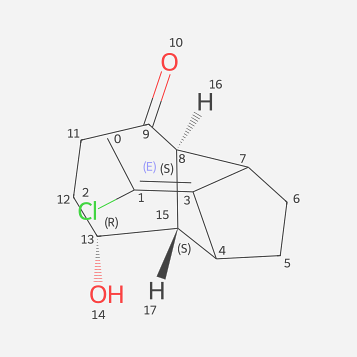 C/C(Cl)=C1/C2CCC1[C@@H]1C(=O)CC[C@@H](O)[C@@H]21